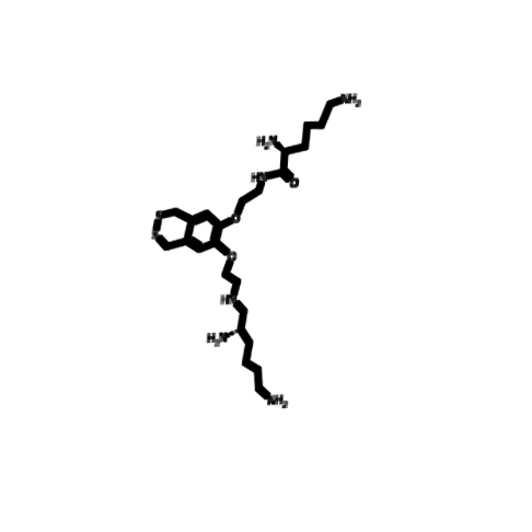 NCCCC[C@H](N)CNCCOc1cc2c(cc1OCCNC(=O)[C@@H](N)CCCCN)CSSC2